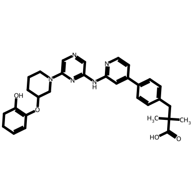 CC(C)(Cc1ccc(-c2ccnc(Nc3cncc(N4CCCC(OC5=C(O)CCC=C5)C4)n3)c2)cc1)C(=O)O